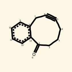 O=C1CCCC#CCc2ccccc21